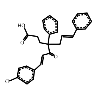 O=C(O)CCC(CC=Cc1ccccc1)(C(=O)C=Cc1ccc(Cl)cc1)c1ccccc1